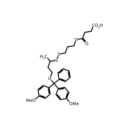 COc1ccc(C(OCCC(C)SSCCCOC(=O)CCC(=O)O)(c2ccccc2)c2ccc(OC)cc2)cc1